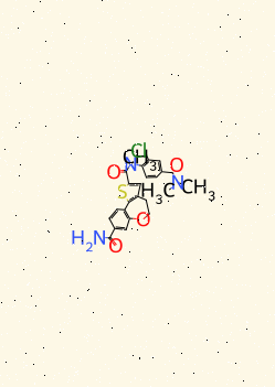 CN(C)C(=O)c1ccc(N(C)C(=O)c2cc3c(s2)-c2ccc(C(N)=O)cc2OCC3)c(Cl)c1